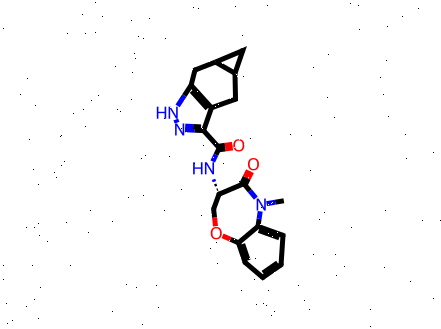 CN1C(=O)[C@@H](NC(=O)c2n[nH]c3c2CC2CC2C3)COc2ccccc21